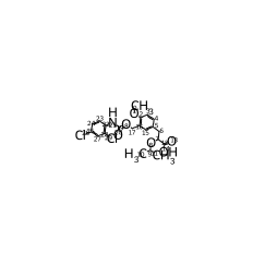 COc1ccc(CC(OC(C)C)C(=O)O)cc1COC(=O)Nc1ccc(Cl)cc1Cl